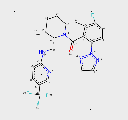 Cc1c(F)ccc(-n2nccn2)c1C(=O)N1CCC[C@@H](C)[C@H]1CNc1ccc(C(F)(F)F)cn1